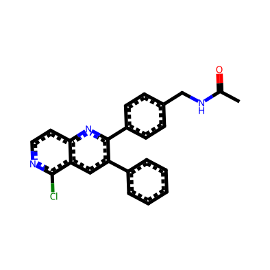 CC(=O)NCc1ccc(-c2nc3ccnc(Cl)c3cc2-c2ccccc2)cc1